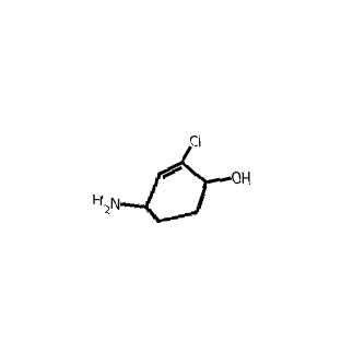 NC1C=C(Cl)C(O)CC1